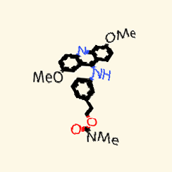 CNC(=O)OCCc1cccc(Nc2c3ccc(OC)cc3nc3ccc(OC)cc23)c1